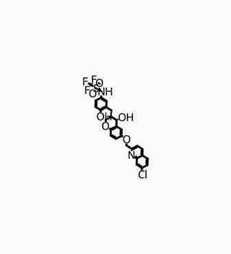 O=S(=O)(Nc1ccc(O)c(C[C@@H]2COc3ccc(OCc4ccc5ccc(Cl)cc5n4)cc3[C@@H]2O)c1)C(F)(F)F